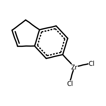 [Cl][Zr]([Cl])[c]1ccc2c(c1)C=CC2